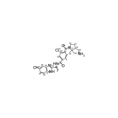 C[C@H](NC(=O)c1ccc(C(=O)N2CCC(CN)C2(C)C)c(Cl)c1)c1nc2cc(Cl)ccc2[nH]1